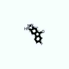 O=C1c2cc(I)ccc2-c2cc3[nH]nnc3cc21